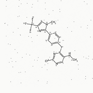 CNc1cnc(Cl)nc1Cc1ccc(-c2nc(C(F)(F)F)cn2C)cc1